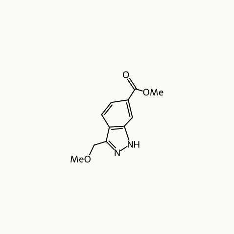 COCc1n[nH]c2cc(C(=O)OC)ccc12